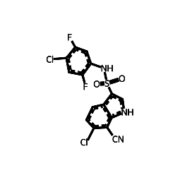 N#Cc1c(Cl)ccc2c(S(=O)(=O)Nc3cc(F)c(Cl)cc3F)c[nH]c12